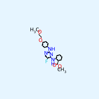 COCCOc1ccc(Nc2ncc(F)c(Nc3ccccc3C(=O)OC)n2)cc1